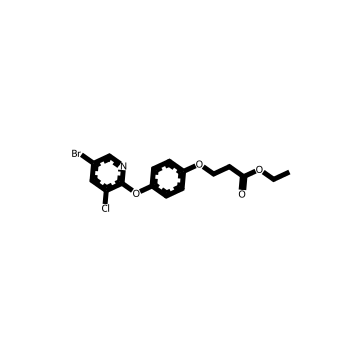 CCOC(=O)CCOc1ccc(Oc2ncc(Br)cc2Cl)cc1